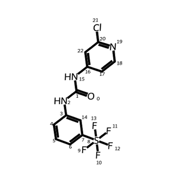 O=C(Nc1cccc(S(F)(F)(F)(F)F)c1)Nc1ccnc(Cl)c1